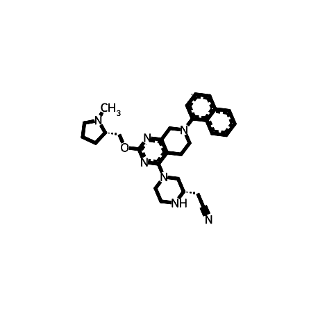 CN1CCC[C@H]1COc1nc2c(c(N3CCN[C@@H](CC#N)C3)n1)CCN(c1c[c]cc3ccccc13)C2